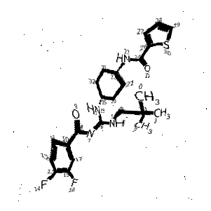 CC(C)(C)CN/C(=N/C(=O)c1ccc(F)c(F)c1)N[C@H]1CC[C@H](NC(=O)c2cccs2)CC1